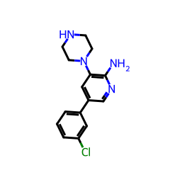 Nc1ncc(-c2cccc(Cl)c2)cc1N1CCNCC1